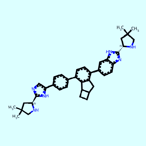 CC1(C)CN[C@H](c2ncc(-c3ccc(-c4ccc(-c5ccc6nc([C@@H]7CC(C)(C)CN7)[nH]c6c5)c5c4C4CCC4C5)cc3)[nH]2)C1